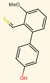 COc1cc[c]c(-c2ccc(O)cc2)c1C=S